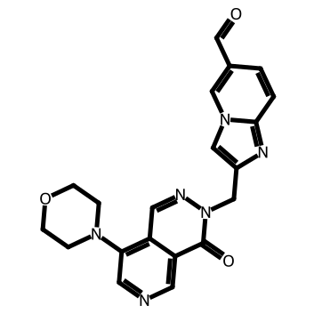 O=Cc1ccc2nc(Cn3ncc4c(N5CCOCC5)cncc4c3=O)cn2c1